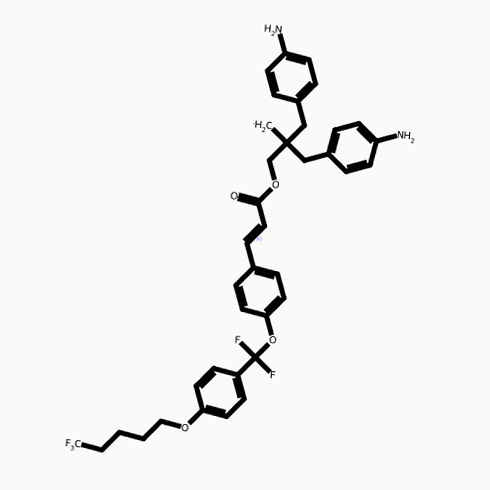 [CH2]C(COC(=O)/C=C/c1ccc(OC(F)(F)c2ccc(OCCCCC(F)(F)F)cc2)cc1)(Cc1ccc(N)cc1)Cc1ccc(N)cc1